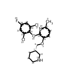 Cc1ccc(OC[C@H]2CCCNC2)c(Oc2c(Cl)cc(F)cc2Cl)n1